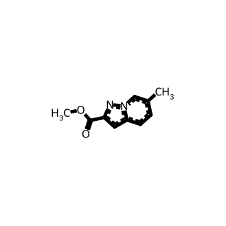 COC(=O)c1cc2ccc(C)cn2n1